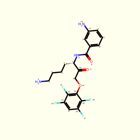 NCCCC[C@H](NC(=O)c1cccc(N)c1)C(=O)COc1c(F)c(F)cc(F)c1F